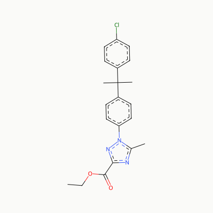 CCOC(=O)c1nc(C)n(-c2ccc(C(C)(C)c3ccc(Cl)cc3)cc2)n1